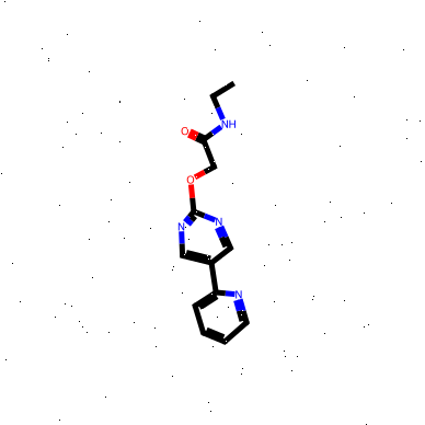 CCNC(=O)COc1ncc(-c2ccccn2)cn1